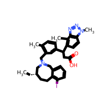 CC[C@H]1CCc2c(I)cccc2CN(Cc2cc(C(CC(=O)O)c3ccc4c(nnn4C)c3C)ccc2C)C1